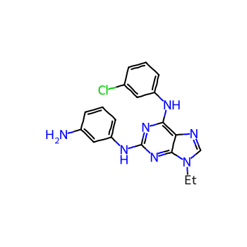 CCn1cnc2c(Nc3cccc(Cl)c3)nc(Nc3cccc(N)c3)nc21